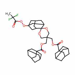 CC(F)(F)C(=O)OOC12CC3CC(C1)C1(OCC(COC(=O)C45CC6CC(CC(C6)C4)C5)(COC(=O)C45CC6CC(CC(C6)C4)C5)CO1)C(C3)C2